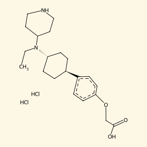 CCN(C1CCNCC1)[C@H]1CC[C@H](c2ccc(OCC(=O)O)cc2)CC1.Cl.Cl